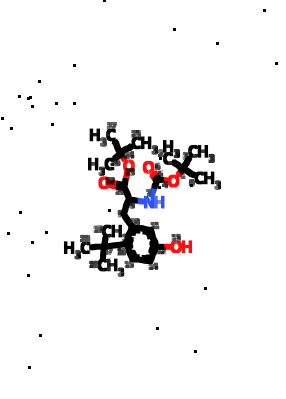 CC(C)(C)OC(=O)NC(Cc1cc(O)ccc1C(C)(C)C)C(=O)OC(C)(C)C